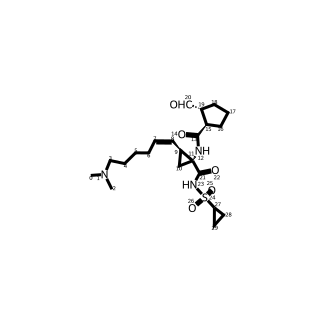 CN(C)CCCC/C=C\[C@@H]1C[C@]1(NC(=O)[C@@H]1CCC[C@H]1C=O)C(=O)NS(=O)(=O)C1CC1